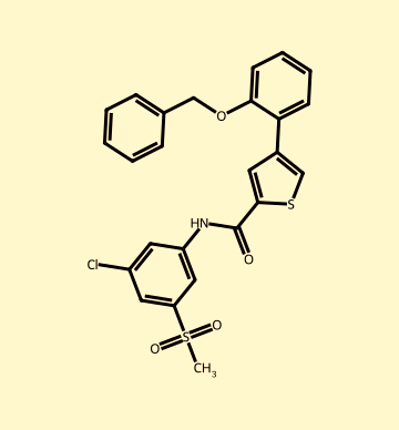 CS(=O)(=O)c1cc(Cl)cc(NC(=O)c2cc(-c3ccccc3OCc3ccccc3)cs2)c1